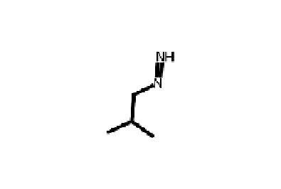 CC(C)CN=N